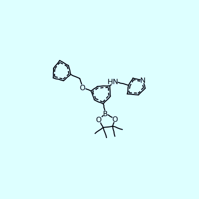 CC1(C)OB(c2cc(Nc3cccnc3)cc(OCc3ccccc3)c2)OC1(C)C